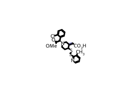 COC(=O)[C@H](c1ccccc1Cl)N1CCC(SSc2ncccc2C)/C(=C\C(=O)O)C1